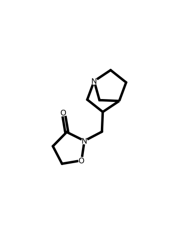 O=C1CCON1CC1CN2CCC1C2